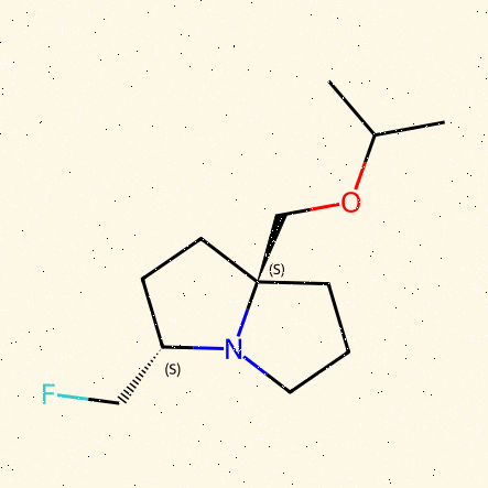 CC(C)OC[C@@]12CCCN1[C@H](CF)CC2